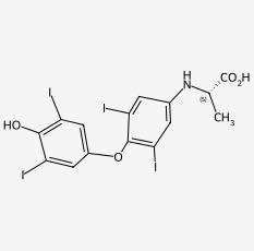 C[C@H](Nc1cc(I)c(Oc2cc(I)c(O)c(I)c2)c(I)c1)C(=O)O